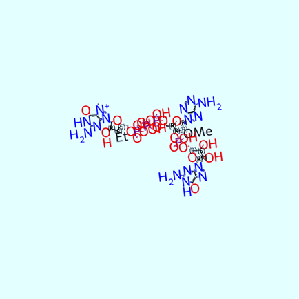 CC[C@@H]1[C@@H](COP(=O)(O)OP(=O)(O)OP(=O)(O)OC[C@H]2O[C@@H](n3cnc4c(N)ncnc43)[C@H](OC)[C@@H]2OP(=O)(O)OC[C@H]2O[C@@H](n3cnc4c(=O)[nH]c(N)nc43)[C@H](O)[C@@H]2O)OC(n2c[n+](C)c3c(=O)[nH]c(N)nc32)[C@@H]1O